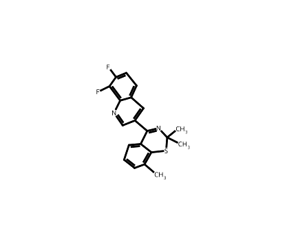 Cc1cccc2c1SC(C)(C)N=C2c1cnc2c(F)c(F)ccc2c1